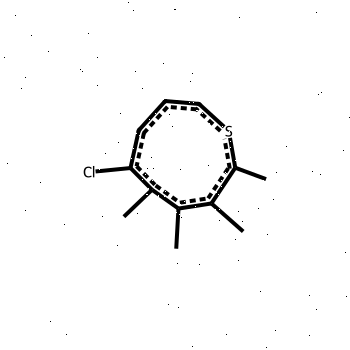 Cc1scccc(Cl)c(C)c(C)c1C